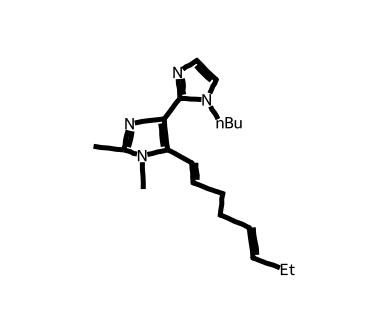 CCC=CCCC=Cc1c(-c2nccn2CCCC)nc(C)n1C